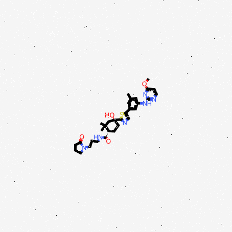 COc1ccnc(Nc2cc(C)cc(-c3cnc([C@@]4(O)CC[C@H](C(=O)NCCCN5CCCC5=O)C(C)(C)C4)s3)c2)n1